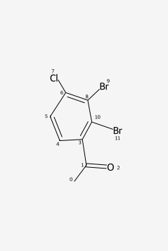 CC(=O)c1ccc(Cl)c(Br)c1Br